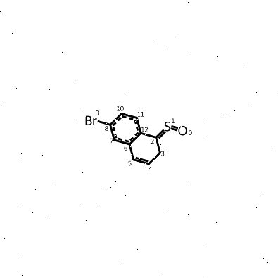 O=S=C1CC=Cc2cc(Br)ccc21